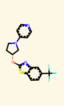 FC(F)(F)c1ccc2sc(O[C@@H]3CCN(c4ccncc4)C3)nc2c1